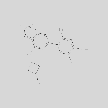 CCc1cc(O)c(F)cc1-c1cc(O[C@H]2C[C@H](N)C2)c2cn[nH]c2c1